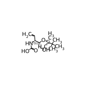 C=C[C@H](NC(=O)O)[C@@H](CO)O[Si](C)(C)C(C)(C)C